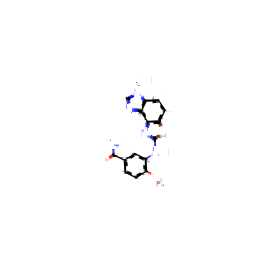 Cn1cnc2c3nc(Nc4cc(C(N)=O)ccc4OC(F)(F)F)sc3ccc21